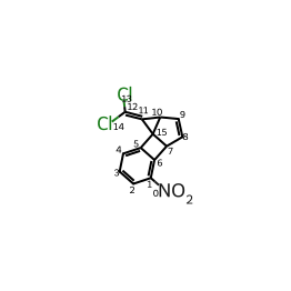 O=[N+]([O-])c1cccc2c1C1C=CC3C(=C(Cl)Cl)C231